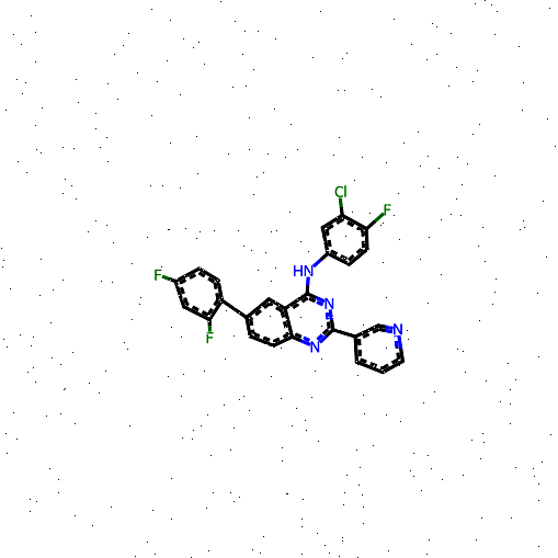 Fc1ccc(-c2ccc3nc(-c4cccnc4)nc(Nc4ccc(F)c(Cl)c4)c3c2)c(F)c1